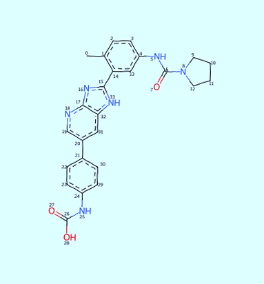 Cc1ccc(NC(=O)N2CCCC2)cc1-c1nc2ncc(-c3ccc(NC(=O)O)cc3)cc2[nH]1